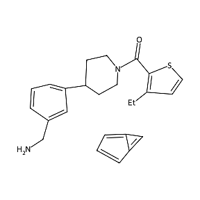 CCc1ccsc1C(=O)N1CCC(c2cccc(CN)c2)CC1.c1cc2cc-2c1